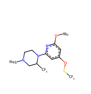 CSN1CCN(c2cc(OSC(F)(F)F)cc(OC(C)(C)C)n2)C(C(F)(F)F)C1